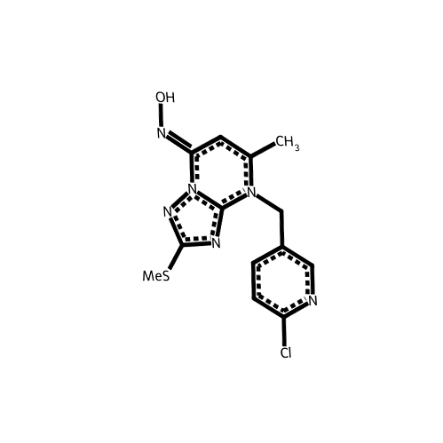 CSc1nc2n(Cc3ccc(Cl)nc3)c(C)cc(=NO)n2n1